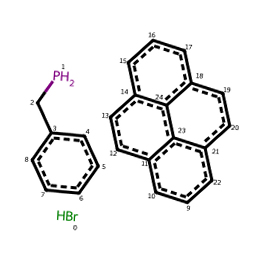 Br.PCc1ccccc1.c1cc2ccc3cccc4ccc(c1)c2c34